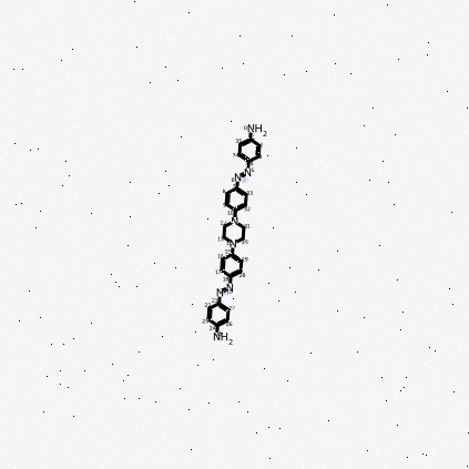 Nc1ccc(/N=N/c2ccc(N3CCN(c4ccc(/N=N/c5ccc(N)cc5)cc4)CC3)cc2)cc1